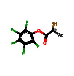 CC(=O)[C@H](S)C(=O)Oc1c(F)c(F)c(F)c(F)c1F